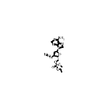 CCOP(=O)(OC)OC[C@H]1OC(n2cnc3c(N)ncnc32)CC1N=[N+]=[N-]